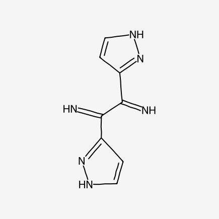 N=C(C(=N)c1cc[nH]n1)c1cc[nH]n1